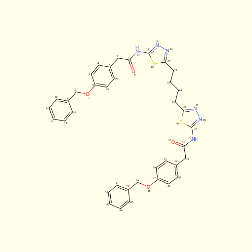 O=C(Cc1ccc(OCc2ccccc2)cc1)Nc1nnc(CCCCc2nnc(NC(=O)Cc3ccc(OCc4ccccc4)cc3)s2)s1